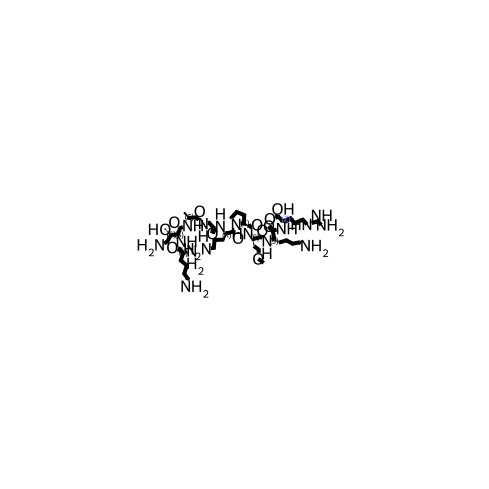 COCC[C@H](NC(=O)[C@@H]1CCCN1C(=O)[C@@H](CCCN)NC(=O)CNC(=O)[C@H](C)NC(=O)[C@@H](NC(=O)[C@@H](N)CCCCN)[C@@H](O)CN)C(=O)N[C@@H](CCCCN)C(=O)N/C(=C\CCNC(=N)N)C(=O)O